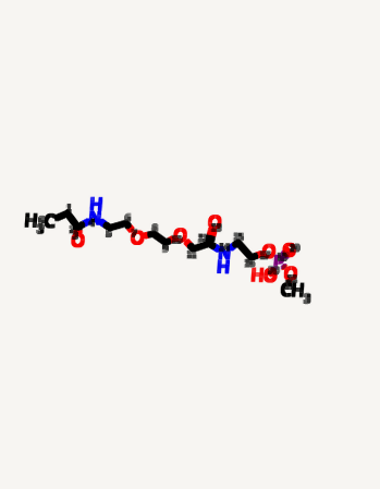 CCC(=O)NCCOCCOCC(=O)NCCOP(=O)(O)OC